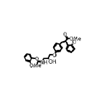 COC(=O)C(=Cc1ccc(OCC(O)CNC(C)Oc2ccccc2OC)cc1)c1ccccc1Cl